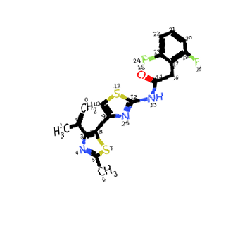 C=C(C)c1nc(C)sc1-c1csc(NC(=O)Cc2c(F)cccc2F)n1